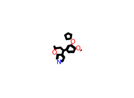 COc1ccc(C(CC(C)=O)c2ccncc2)cc1OC1CCCC1